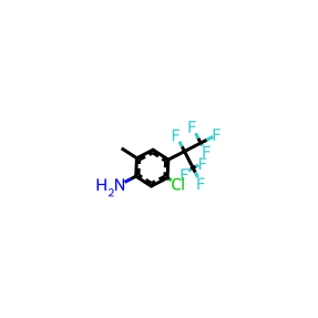 Cc1cc(C(F)(C(F)(F)F)C(F)(F)F)c(Cl)cc1N